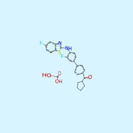 O=C(O)O.O=C(c1ccc(-c2ccc(Nc3nc4cc(F)ccc4s3)c(F)c2)cc1)C1CCCC1